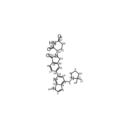 Cn1ccc2c(CN3CCCC3(C)C)cc(-c3ccc4c(c3)CN(C3CCC(=O)NC3=O)C4=O)nc21